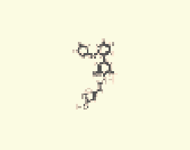 Oc1cc(CCNc2c(F)cc(-c3cccnc3OC3CCCC3)cc2F)on1